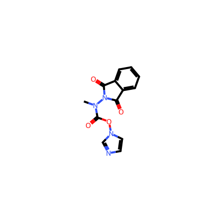 CN(C(=O)On1ccnc1)N1C(=O)c2ccccc2C1=O